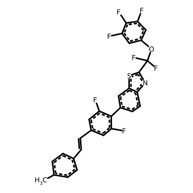 Cc1ccc(/C=C/c2cc(F)c(-c3ccc4nc(C(F)(F)Oc5cc(F)c(F)c(F)c5)sc4c3)c(F)c2)cc1